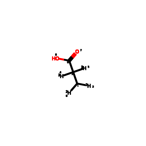 [2H]C([2H])C([2H])([2H])C(=O)O